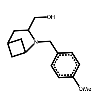 COc1ccc(CN2C(CO)CC3CC2C3)cc1